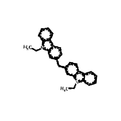 CCn1c2ccccc2c2ccc(Cc3ccc4c5ccccc5n(CC)c4c3)cc21